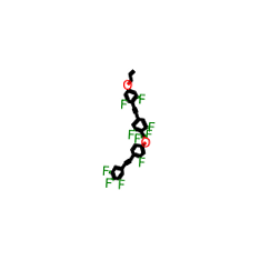 C=CCOc1cc(F)c(C#Cc2cc(F)c(C(F)(F)Oc3ccc(C#Cc4cc(F)c(F)c(F)c4)c(F)c3)c(F)c2)c(F)c1